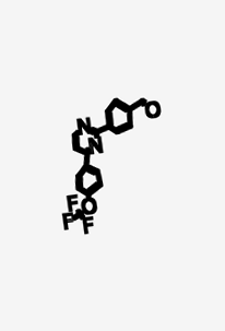 O=Cc1ccc(-c2nccc(-c3ccc(OC(F)(F)F)cc3)n2)cc1